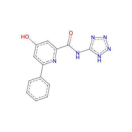 O=C(Nc1nnn[nH]1)c1cc(O)cc(-c2ccccc2)n1